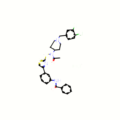 CC(=O)N(Sc1nc(-c2cccc(NC(=O)c3ccccc3)c2)cs1)C1CCN(Cc2ccc(Cl)c(Cl)c2)CC1.Cl